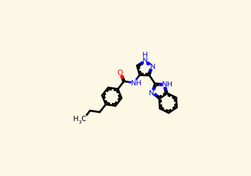 CCCc1ccc(C(=O)Nc2c[nH]nc2-c2nc3ccccc3[nH]2)cc1